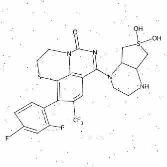 O=c1nc(N2CCNC3CS(O)(O)CC32)c2cc(C(F)(F)F)c(-c3ccc(F)cc3F)c3c2n1CCS3